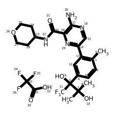 Cc1ccc(C(O)(C(C)(C)O)C(F)(F)F)cc1-c1cnc(N)c(C(=O)NC2CCOCC2)n1.O=C(O)C(F)(F)F